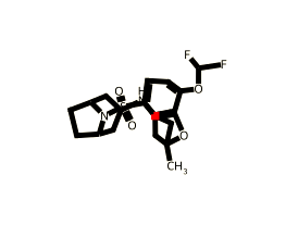 CC12CC(NC3CC4CCC(C3)N4S(=O)(=O)c3ccc(OC(F)F)cc3)(CO1)C2